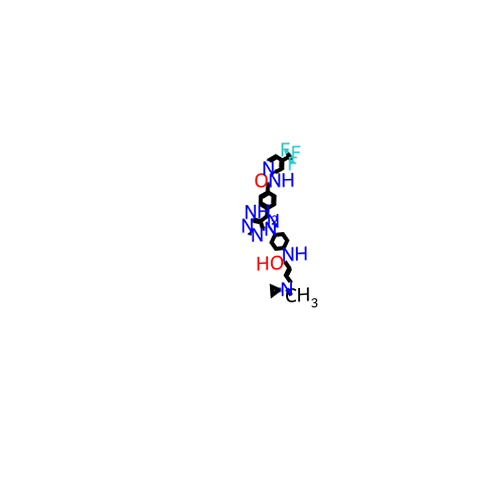 CN(C/C=C/C(O)N[C@H]1CC[C@H](n2nc(-c3ccc(C(=O)Nc4cc(C(F)(F)F)ccn4)cc3)c3c(N)ncnc32)CC1)C1CC1